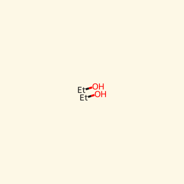 CCO.[CH2]CO